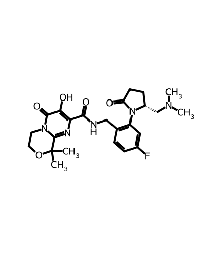 CN(C)C[C@H]1CCC(=O)N1c1cc(F)ccc1CNC(=O)c1nc2n(c(=O)c1O)CCOC2(C)C